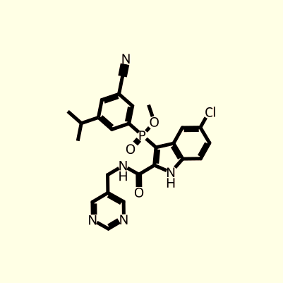 COP(=O)(c1cc(C#N)cc(C(C)C)c1)c1c(C(=O)NCc2cncnc2)[nH]c2ccc(Cl)cc12